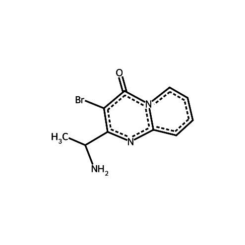 CC(N)c1nc2ccccn2c(=O)c1Br